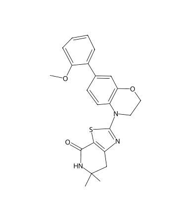 COc1ccccc1-c1ccc2c(c1)OCCN2c1nc2c(s1)C(=O)NC(C)(C)C2